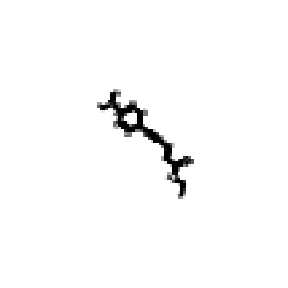 CCOC(=O)C=CC#Cc1ccc(N(C)C)cc1